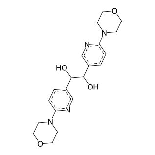 OC(c1ccc(N2CCOCC2)nc1)C(O)c1ccc(N2CCOCC2)nc1